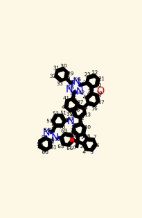 CC1(C)c2ccccc2-c2cc3c4cc(-c5ccc6oc7cccc(-c8nc(-c9ccccc9)nc(-c9ccccc9)n8)c7c6c5)ccc4n(-c4cccc(-c5nc6ccccc6n5-c5ccccc5)c4)c3cc21